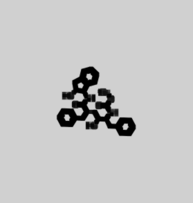 CC(C)(C)OC(=O)N[C@@H](Cc1ccccc1)[C@@H](O)C[C@@H](Cc1ccccc1)C(=O)N[C@@H]1c2ccccc2C[C@@H]1O